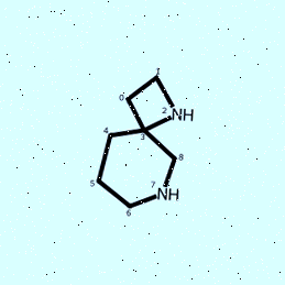 [CH]1CNC12CCCNC2